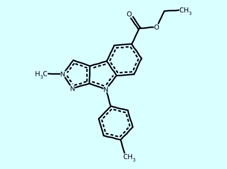 CCOC(=O)c1ccc2c(c1)c1cn(C)nc1n2-c1ccc(C)cc1